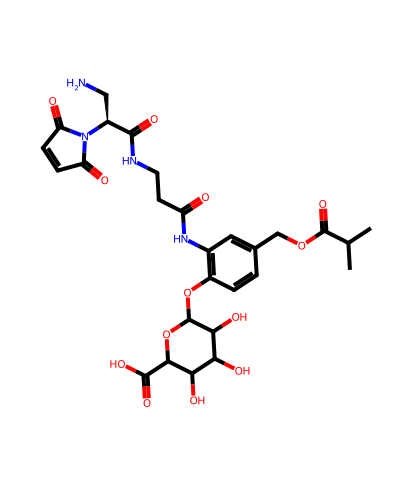 CC(C)C(=O)OCc1ccc(OC2OC(C(=O)O)C(O)C(O)C2O)c(NC(=O)CCNC(=O)[C@H](CN)N2C(=O)C=CC2=O)c1